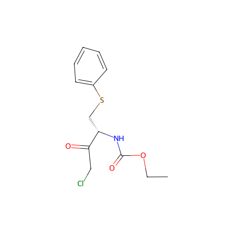 CCOC(=O)N[C@@H](CSc1ccccc1)C(=O)CCl